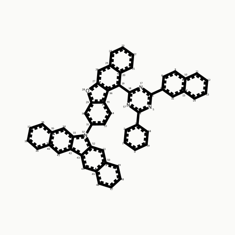 c1ccc(-c2nc(-c3ccc4ccccc4c3)nc(-c3c4ccccc4cc4oc5cc(-n6c7cc8ccccc8cc7c7cc8ccccc8cc76)ccc5c34)n2)cc1